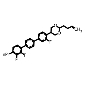 C=CCCC1OCC(c2ccc(-c3ccc(-c4ccc(CCC)c(F)c4F)cc3)cc2F)CO1